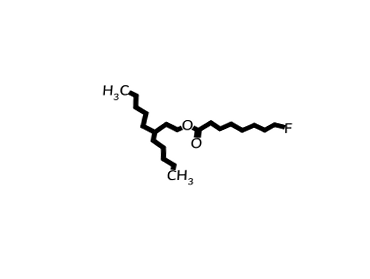 CCCCCC(CCCCC)CCOC(=O)CCCCCCCF